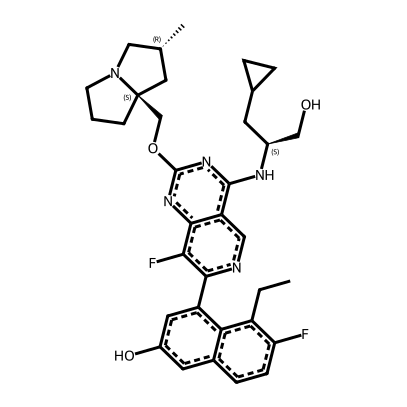 CCc1c(F)ccc2cc(O)cc(-c3ncc4c(N[C@H](CO)CC5CC5)nc(OC[C@@]56CCCN5C[C@H](C)C6)nc4c3F)c12